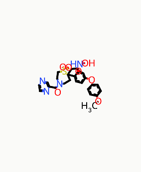 COc1ccc(Oc2ccc(C3(CC(=O)NO)CCN(C(=O)c4cnccn4)CCS3(=O)=O)cc2)cc1